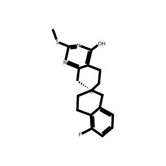 CSc1nc(O)c2c(n1)C[C@]1(CCc3c(F)cccc3C1)CC2